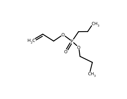 C=CCOP(=O)(CCC)OCCC